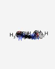 CC(C)(C(=O)O)C(=O)NC(c1nc(-c2ccc(-c3ccc(-c4c[nH]c(C(NC(=O)C(C)(C)C(=O)O)C(C)(C)C)n4)cc3)cc2)c[nH]1)C(C)(C)C